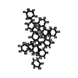 c1ccc(-c2ccc(-c3ccc(-c4ccccc4)cc3N(c3ccc4c(c3)C(c3ccccc3)(c3ccccc3)c3cc(-c5ccccc5)ccc3-4)c3cccc4c3sc3ccccc34)cc2)cc1